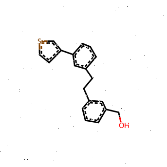 OCc1cccc(CCc2cccc(-c3ccsc3)c2)c1